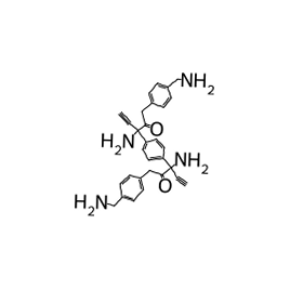 C#CC(N)(C(=O)Cc1ccc(CN)cc1)c1ccc(C(N)(C#C)C(=O)Cc2ccc(CN)cc2)cc1